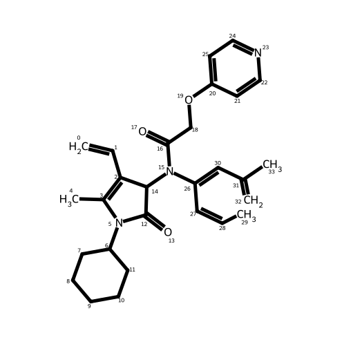 C=CC1=C(C)N(C2CCCCC2)C(=O)C1N(C(=O)COc1ccncc1)C(/C=C\C)=C/C(=C)C